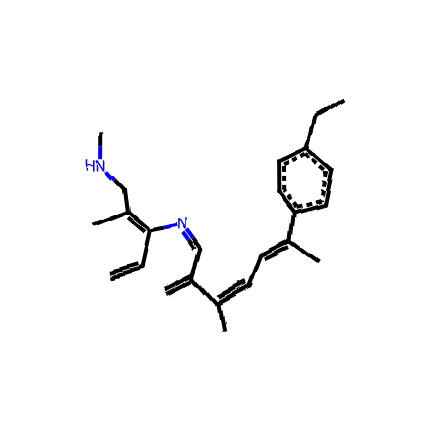 C=CC(/N=C\C(=C)/C(C)=C\C=C(/C)c1ccc(CC)cc1)=C(\C)CNC